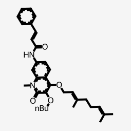 CCCCOc1c(OC/C=C(\C)CCC=C(C)C)c2ccc(NC(=O)C=Cc3ccccc3)cc2n(C)c1=O